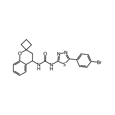 O=C(Nc1nnc(-c2ccc(Br)cc2)s1)NC1CC2(CCC2)Oc2ccccc21